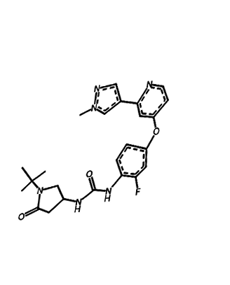 Cn1cc(-c2cc(Oc3ccc(NC(=O)NC4CC(=O)N(C(C)(C)C)C4)c(F)c3)ccn2)cn1